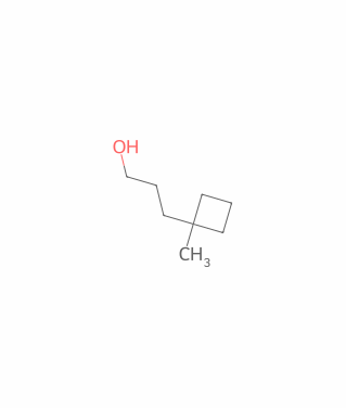 CC1(CCCO)CCC1